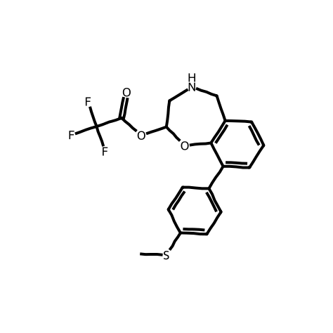 CSc1ccc(-c2cccc3c2OC(OC(=O)C(F)(F)F)CNC3)cc1